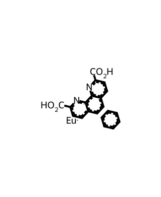 O=C(O)c1ccc2ccc3ccc(C(=O)O)nc3c2n1.[Eu].c1ccccc1